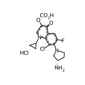 Cl.N[C@H]1CCN(c2c(F)cc3c(=O)c(OC(=O)O)cn(C4CC4)c3c2Cl)C1